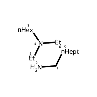 CCCCCCCCN.CCCCCCN(CC)CC